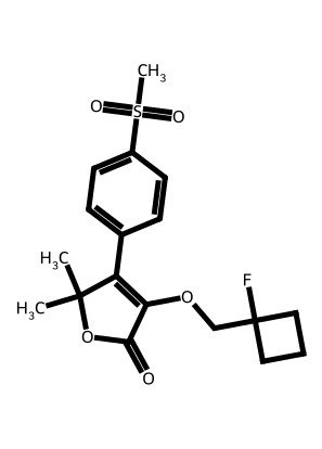 CC1(C)OC(=O)C(OCC2(F)CCC2)=C1c1ccc(S(C)(=O)=O)cc1